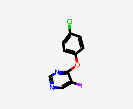 Clc1ccc(Oc2ncncc2I)cc1